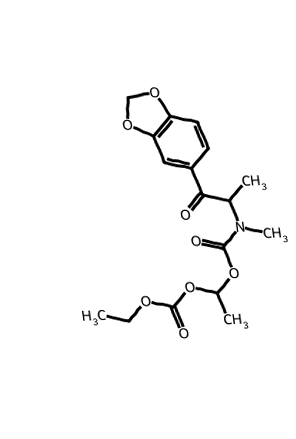 CCOC(=O)OC(C)OC(=O)N(C)C(C)C(=O)c1ccc2c(c1)OCO2